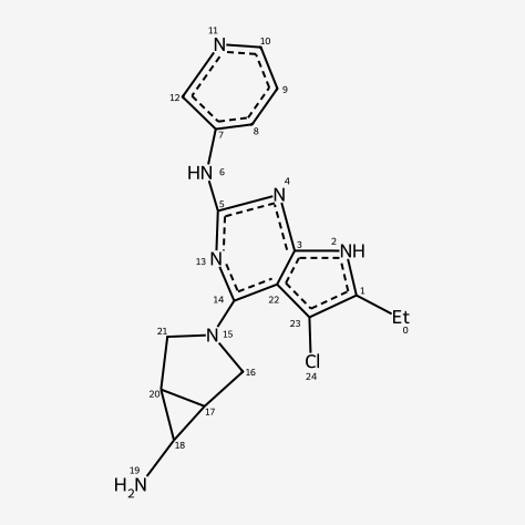 CCc1[nH]c2nc(Nc3cccnc3)nc(N3CC4C(N)C4C3)c2c1Cl